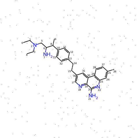 CCN(CC)CC(N)C(C)c1ccc(CCc2cnc3c(N)nc4cc(C)ccc4c3c2)cc1